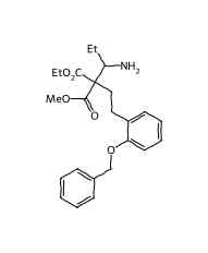 CCOC(=O)C(CCc1ccccc1OCc1ccccc1)(C(=O)OC)C(N)CC